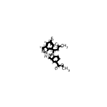 COC(=O)c1ccc2c(cnn2C(CC(C)C)c2cc(F)cc3cn[nH]c23)c1